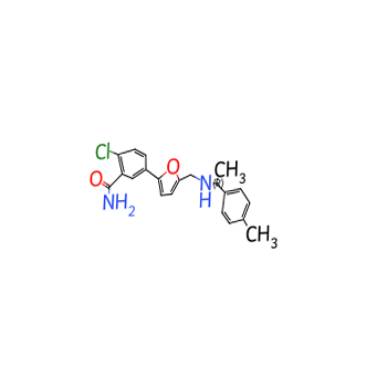 Cc1ccc([C@@H](C)NCc2ccc(-c3ccc(Cl)c(C(N)=O)c3)o2)cc1